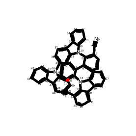 N#Cc1cccc(-c2ccccc2-n2c3ccccc3c3cccc(C#N)c32)c1-n1c2ccccc2c2ccc(-n3c4ccccc4c4ccccc43)cc21